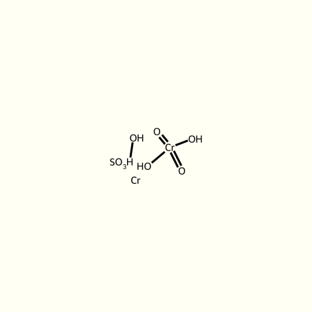 O=S(=O)(O)O.[Cr].[O]=[Cr](=[O])([OH])[OH]